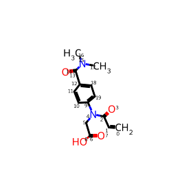 C=CC(=O)N(CC(=O)O)c1ccc(C(=O)N(C)C)cc1